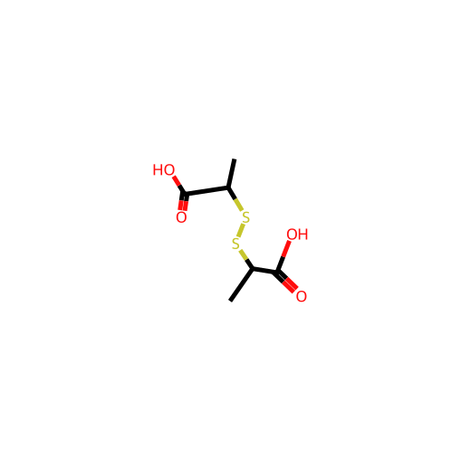 CC(SSC(C)C(=O)O)C(=O)O